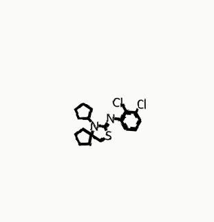 Clc1cccc(N=C2SCC3(CCCC3)N2C2CCCC2)c1Cl